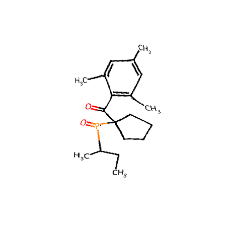 CCC(C)[P](=O)C1(C(=O)c2c(C)cc(C)cc2C)CCCC1